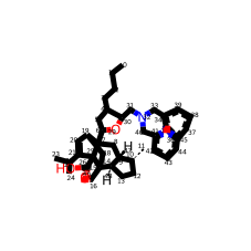 CCCCC1CC(C23C[C@@H]4[C@H](C)CC[C@H]4C4(C=O)CC2C=C(C(C)C)C34C(=O)O)OC1CN(Cc1ccccc1)Cc1ccccn1